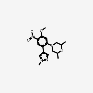 COc1cc(N2CC(C)OC(C)C2)c(-c2cnn(C)c2)cc1[N+](=O)[O-]